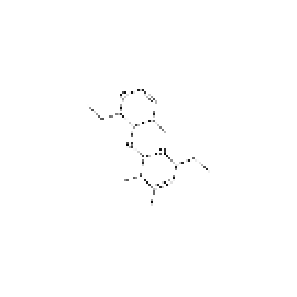 CCC1C=C(C)C(C)C(OC2C(C)C=COC2CC)O1